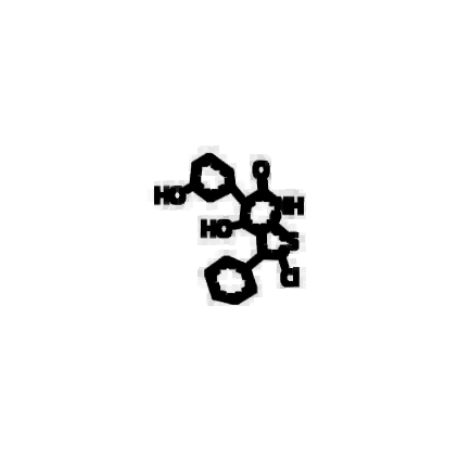 O=c1[nH]c2sc(Cl)c(-c3ccccc3)c2c(O)c1-c1cccc(O)c1